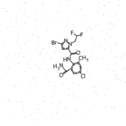 Cc1cc(Cl)cc(C(N)=O)c1NC(=O)c1cc(Br)nn1CC(F)F